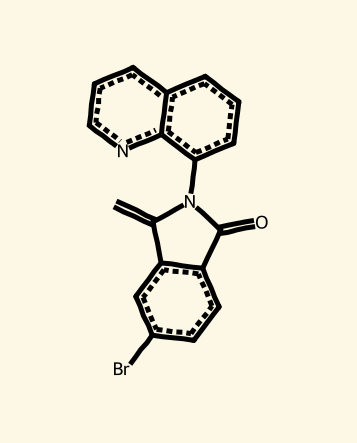 C=C1c2cc(Br)ccc2C(=O)N1c1cccc2cccnc12